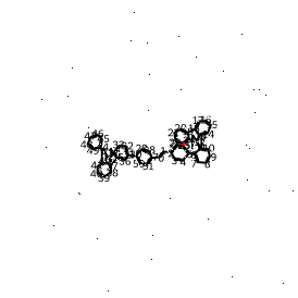 C(=C\c1ccc(-c2ccccc2-n2c3ccccc3c3ccccc32)cc1)/c1ccc(-c2ccc3c(c2)c2ccccc2n3-c2ccccc2)cc1